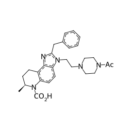 CC(=O)N1CCN(CCn2c(Cc3ccccc3)nc3c4c(ccc32)N(C(=O)O)[C@@H](C)CC4)CC1